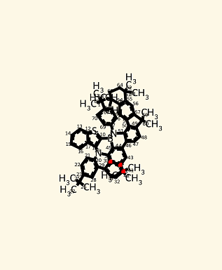 CC(C)(C)c1ccc(N2B3c4sc5ccccc5c4N(c4ccc(C(C)(C)C)cc4-c4ccccc4)c4cc(C(C)(C)C)cc(c43)-c3ccc4c(c32)-c2cc3c(cc2C4(C)C)C(C)(C)CCC3(C)C)cc1